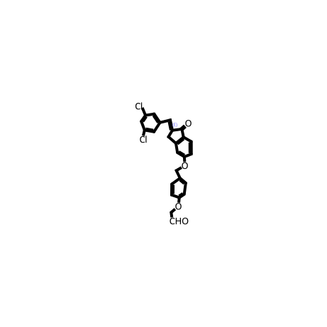 O=CCOc1ccc(COc2ccc3c(c2)C/C(=C\c2cc(Cl)cc(Cl)c2)C3=O)cc1